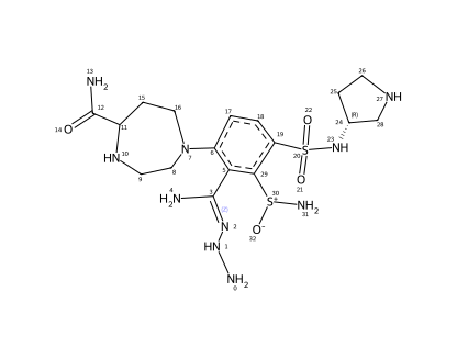 NN/N=C(\N)c1c(N2CCNC(C(N)=O)CC2)ccc(S(=O)(=O)N[C@@H]2CCNC2)c1[S+](N)[O-]